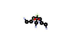 N#Cc1cccc(-c2ccc3c(c2)c2ccccc2n3-c2cc(C#N)cc(-n3c4ccccc4c4cc(-c5cccc(C#N)c5)ccc43)c2-c2ccc(C(F)(F)F)cc2C(F)(F)F)c1